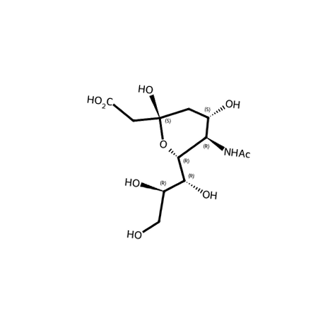 CC(=O)N[C@H]1[C@H]([C@H](O)[C@H](O)CO)O[C@](O)(CC(=O)O)C[C@@H]1O